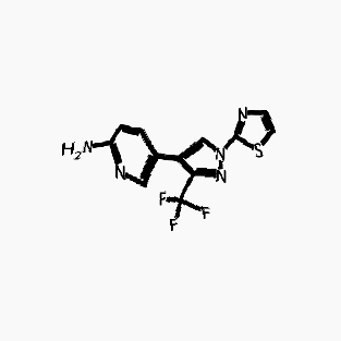 Nc1ccc(-c2cn(-c3nccs3)nc2C(F)(F)F)cn1